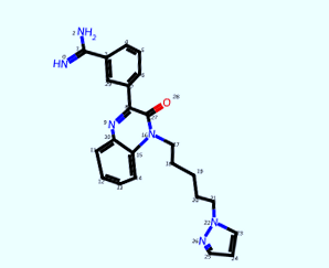 N=C(N)c1cccc(-c2nc3ccccc3n(CCCCCn3cccn3)c2=O)c1